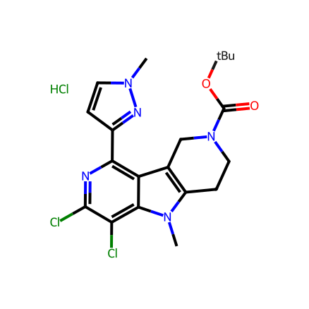 Cl.Cn1ccc(-c2nc(Cl)c(Cl)c3c2c2c(n3C)CCN(C(=O)OC(C)(C)C)C2)n1